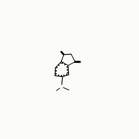 CN(C)c1ccc2c(c1)C(=O)CC2=O